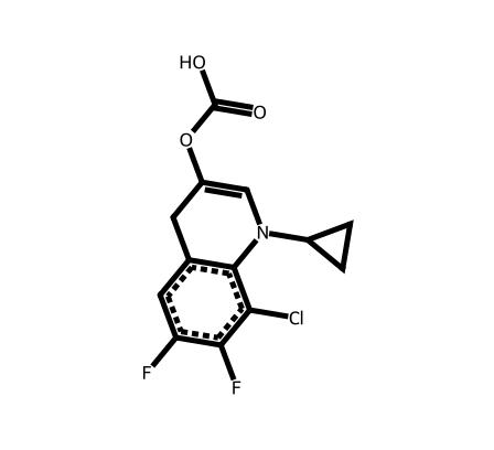 O=C(O)OC1=CN(C2CC2)c2c(cc(F)c(F)c2Cl)C1